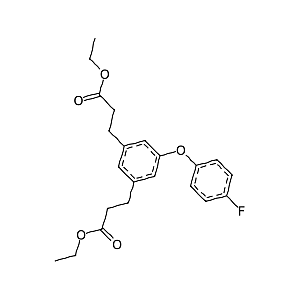 CCOC(=O)CCc1cc(CCC(=O)OCC)cc(Oc2ccc(F)cc2)c1